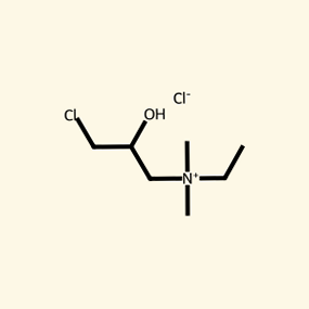 CC[N+](C)(C)CC(O)CCl.[Cl-]